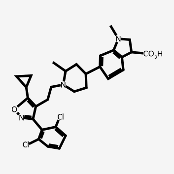 CC1CC(c2ccc3c(c2)N(C)CC3C(=O)O)CCN1CCc1c(-c2c(Cl)cccc2Cl)noc1C1CC1